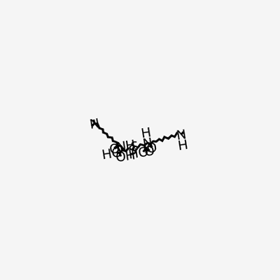 CNCCCCCCCCCC(=O)NC(CCSSCCC(NC(=O)CCCCCCCCCN(C)C)C(O)O)C(=O)O